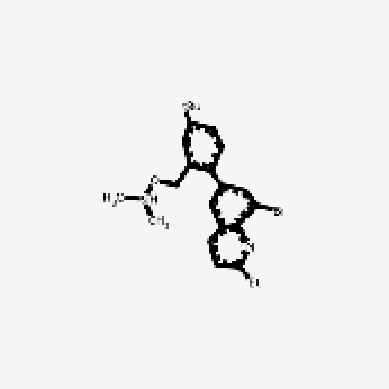 CCc1ccc2cc(-c3ccc(C(C)(C)C)cc3CO[SiH](C)C)cc(Br)c2n1